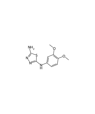 COc1ccc(Nc2nnc(N)s2)cc1OC